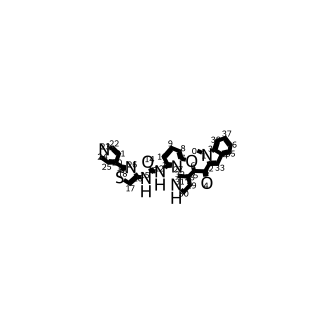 Cn1c(C(=O)C(Oc2cccc(NC(=O)Nc3csc(-c4ccncc4)n3)n2)C2CCNC2)cc2ccccc21